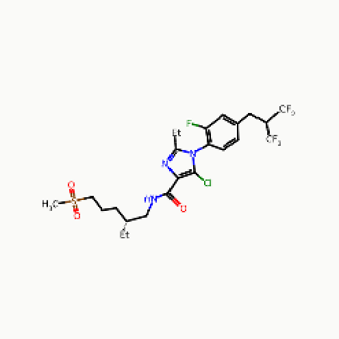 CCc1nc(C(=O)NC[C@H](CC)CCCS(C)(=O)=O)c(Cl)n1-c1ccc(CC(C(F)(F)F)C(F)(F)F)cc1F